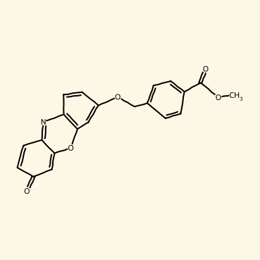 COC(=O)c1ccc(COc2ccc3nc4ccc(=O)cc-4oc3c2)cc1